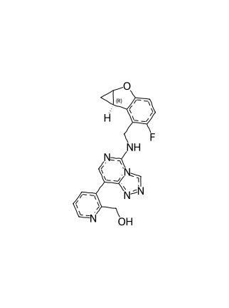 OCc1ncccc1-c1cnc(NCc2c(F)ccc3c2[C@H]2CC2O3)n2cnnc12